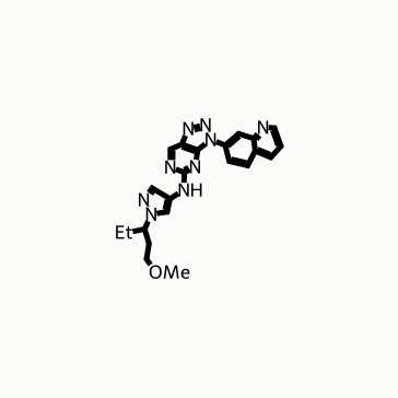 CCC(CCOC)n1cc(Nc2ncc3nnn(-c4ccc5cccnc5c4)c3n2)cn1